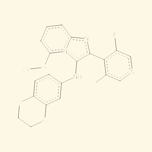 CCCOc1cccc2nc(-c3c(F)cncc3F)c(Nc3ccc4c(c3)OCCO4)n12